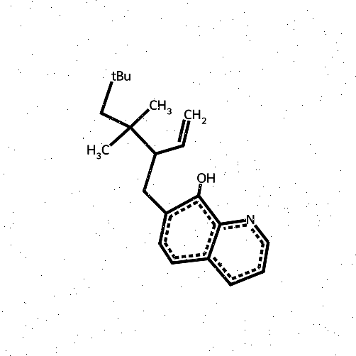 C=CC(Cc1ccc2cccnc2c1O)C(C)(C)CC(C)(C)C